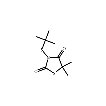 CC(C)(C)SN1C(=O)SC(C)(C)C1=O